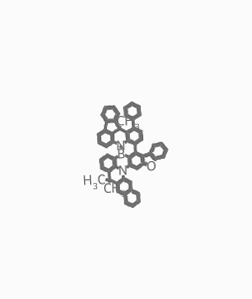 CC1(C)c2cc3ccccc3cc2N2c3cc4oc5ccccc5c4c4c3B(c3cccc1c32)N1c2cccc3c2C(C)(c2ccccc2-3)c2c(-c3ccccc3)ccc-4c21